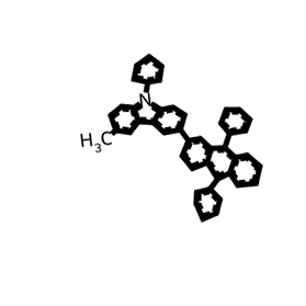 Cc1ccc2c(c1)c1cc(-c3ccc4c(-c5ccccc5)c5ccccc5c(-c5ccccc5)c4c3)ccc1n2-c1ccccc1